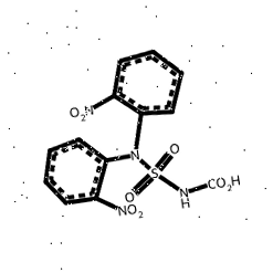 O=C(O)NS(=O)(=O)N(c1ccccc1[N+](=O)[O-])c1ccccc1[N+](=O)[O-]